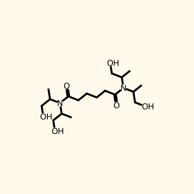 CC(CO)N(C(=O)CCCCC(=O)N(C(C)CO)C(C)CO)C(C)CO